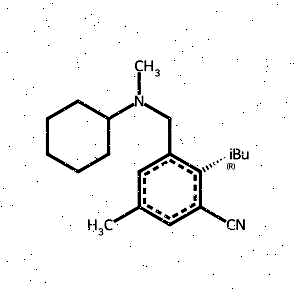 CC[C@@H](C)c1c(C#N)cc(C)cc1CN(C)C1CCCCC1